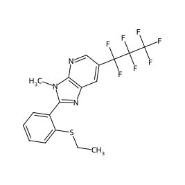 CCSc1ccccc1-c1nc2cc(C(F)(F)C(F)(F)C(F)(F)F)cnc2n1C